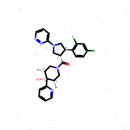 C[C@@H]1CN(C(=O)[C@@H]2CN(c3cccnn3)C[C@H]2c2ccc(F)cc2F)C[C@H](C)[C@@]1(O)c1ccccn1